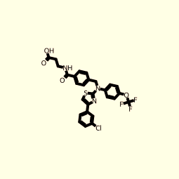 O=C(O)CCNC(=O)c1ccc(CN(c2ccc(OC(F)(F)F)cc2)c2nc(-c3cccc(Cl)c3)cs2)cc1